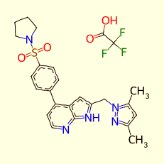 Cc1cc(C)n(Cc2cc3c(-c4ccc(S(=O)(=O)N5CCCC5)cc4)ccnc3[nH]2)n1.O=C(O)C(F)(F)F